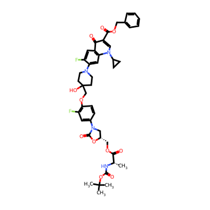 C[C@H](NC(=O)OC(C)(C)C)C(=O)OC[C@H]1CN(c2ccc(OCC3(O)CCN(c4cc5c(cc4F)c(=O)c(C(=O)OCc4ccccc4)cn5C4CC4)CC3)c(F)c2)C(=O)O1